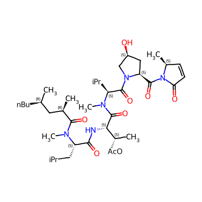 CCCC[C@@H](C)C[C@@H](C)C(=O)N(C)[C@@H](CC(C)C)C(=O)N[C@H](C(=O)N(C)[C@H](C(=O)N1C[C@@H](O)C[C@H]1C(=O)N1C(=O)C=C[C@@H]1C)C(C)C)[C@H](C)OC(C)=O